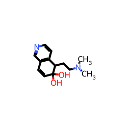 CN(C)CCC1c2ccncc2C=CC1(O)O